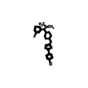 CN(C)C(c1cccc(F)c1)C1CCC(Cc2nc(-c3ccc(Cl)cc3)no2)CC1